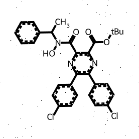 CC(c1ccccc1)N(O)C(=O)c1nc(-c2ccc(Cl)cc2)c(-c2ccc(Cl)cc2)nc1C(=O)OC(C)(C)C